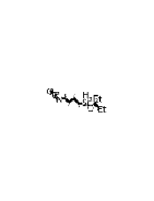 CCC(CC)O[SiH2]CCCCN=C=O